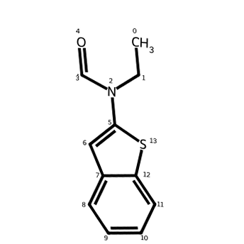 CCN([C]=O)c1cc2ccccc2s1